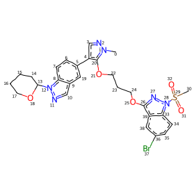 Cn1ncc(-c2ccc3c(cnn3C3CCCCO3)c2)c1OCCCOc1nn(S(C)(=O)=O)c2ccc(Br)cc12